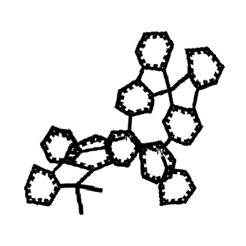 CC1(C)c2ccccc2-c2ccc(N(c3ccccc3)c3ccc4c(c3)C3(c5ccccc5-c5ccc(N(c6ccccc6)c6ccc(-c7ccccc7)cc6)cc53)c3ccccc3-4)cc21